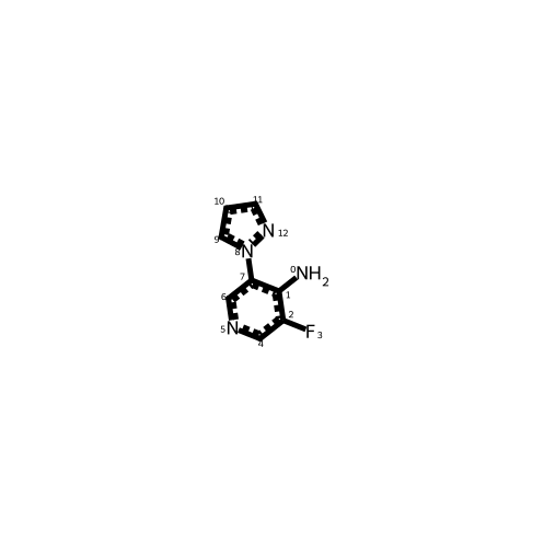 Nc1c(F)cncc1-n1cccn1